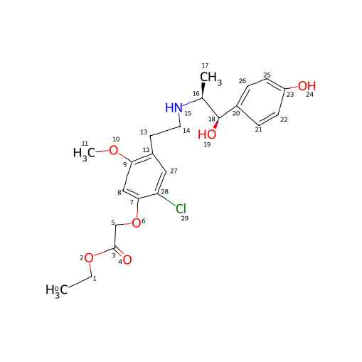 CCOC(=O)COc1cc(OC)c(CCN[C@@H](C)[C@H](O)c2ccc(O)cc2)cc1Cl